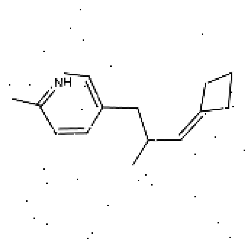 C/C=C(\C=C/C(C)=N)CC(C)C=C1CCC1